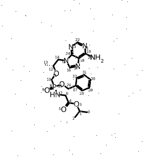 CC(C)OC(=O)CNP(=O)(CO[C@H](C)Cn1cnc2c(N)ncnc21)OCc1ccccc1